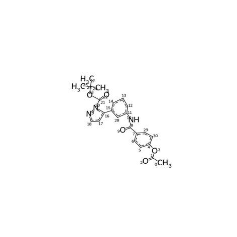 CC(=O)Oc1ccc(C(=O)Nc2cccc(-c3ccnn3C(=O)OC(C)(C)C)c2)cc1